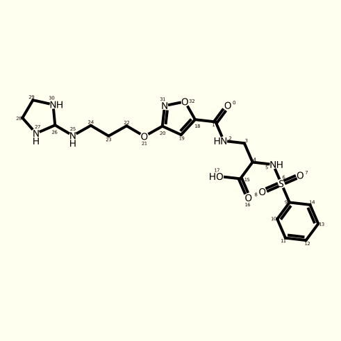 O=C(NCC(NS(=O)(=O)c1ccccc1)C(=O)O)c1cc(OCCCNC2NCCN2)no1